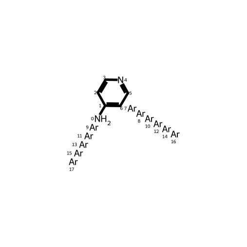 Nc1ccncc1.[Ar].[Ar].[Ar].[Ar].[Ar].[Ar].[Ar].[Ar].[Ar].[Ar].[Ar]